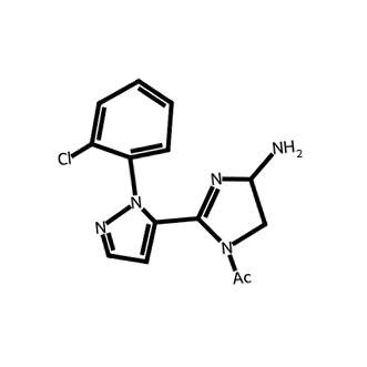 CC(=O)N1CC(N)N=C1c1ccnn1-c1ccccc1Cl